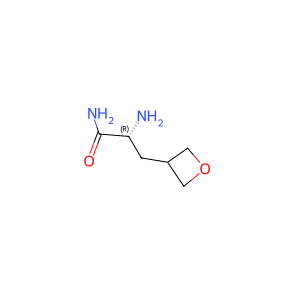 NC(=O)[C@H](N)CC1COC1